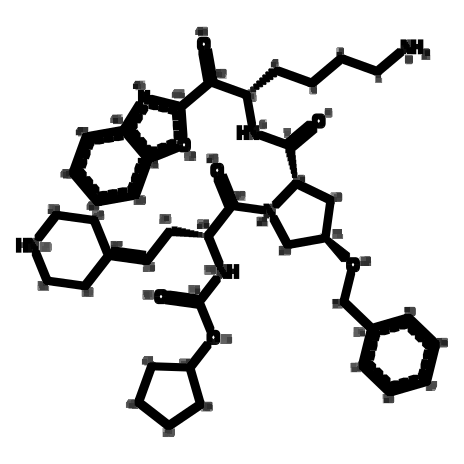 NCCCC[C@H](NC(=O)[C@@H]1C[C@@H](OCc2ccccc2)CN1C(=O)[C@@H](CC=C1CCNCC1)NC(=O)OC1CCCC1)C(=O)c1nc2ccccc2o1